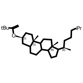 C=C(O[C@H]1CC[C@@]2(C)C(CCC3C2CC[C@@]2(C)C3CCC2[C@H](C)CCCC(C)C)C1)C(C)(C)C